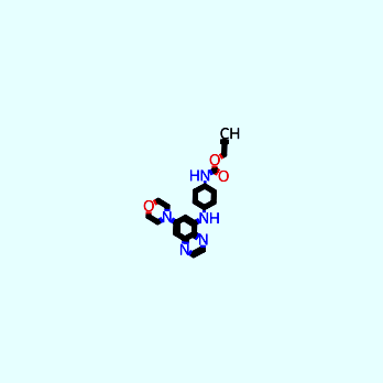 C#CCOC(=O)N[C@H]1CC[C@@H](Nc2cc(N3CCOCC3)cc3nccnc23)CC1